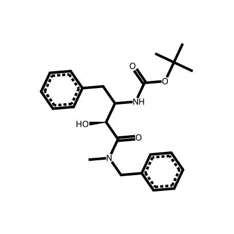 CN(Cc1ccccc1)C(=O)[C@@H](O)C(Cc1ccccc1)NC(=O)OC(C)(C)C